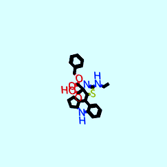 CCNC1=NC(C(=O)O)(C(=O)OCc2ccccc2)C(C2c3ccccc3NC3CCCC32)S1